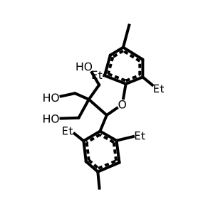 CCc1cc(C)cc(CC)c1OC(c1c(CC)cc(C)cc1CC)C(CO)(CO)CO